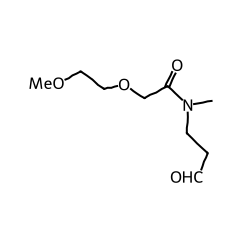 COCCOCC(=O)N(C)CCC=O